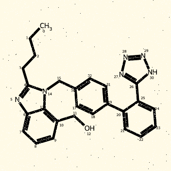 CCCCc1nc2cccc(CO)c2n1Cc1ccc(-c2ccccc2-c2nnn[nH]2)cc1